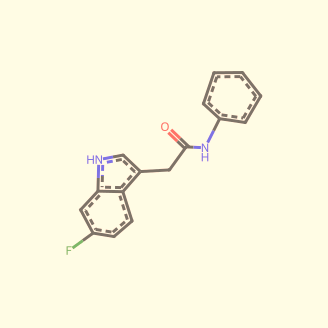 O=C(Cc1c[nH]c2cc(F)ccc12)Nc1ccccc1